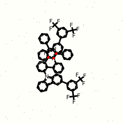 FC(F)(F)c1cc(-c2ccc3c(c2)c2ccccc2n3-c2ccccc2-c2c(-c3cc(-c4ccccc4)nc(-c4ccccc4)n3)cccc2-n2c3ccccc3c3cc(-c4cc(C(F)(F)F)cc(C(F)(F)F)c4)ccc32)cc(C(F)(F)F)c1